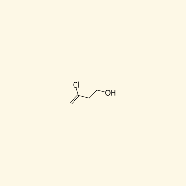 C=C(Cl)CCO